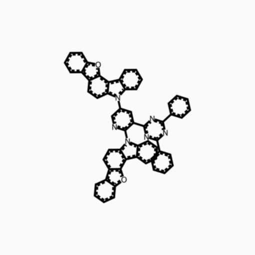 c1ccc(-c2nc(-c3ccccc3)nc(-c3cc(-n4c5ccccc5c5c6oc7ccccc7c6ccc54)cnc3-n3c4ccccc4c4c5oc6ccccc6c5ccc43)n2)cc1